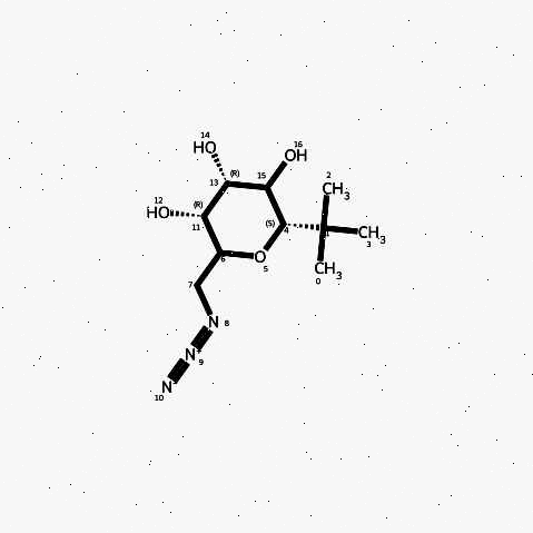 CC(C)(C)[C@@H]1OC(CN=[N+]=[N-])[C@H](O)[C@H](O)C1O